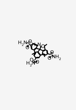 CCc1cc(S(N)(=O)=O)ccc1C(C(N)=O)(c1ccc(S(N)(=O)=O)cc1CC)c1ccc(S(N)(=O)=O)cc1CC